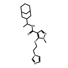 CC(NC(=O)c1cnn(C)c1OCCn1ccnc1)C1CC2CCCC(C2)C1